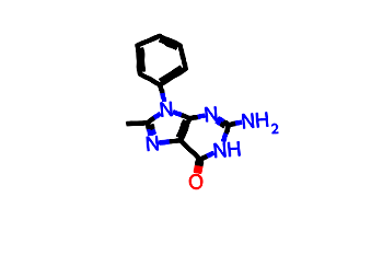 Cc1nc2c(=O)[nH]c(N)nc2n1-c1ccccc1